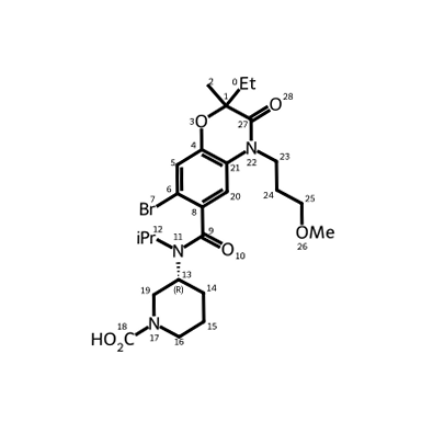 CCC1(C)Oc2cc(Br)c(C(=O)N(C(C)C)[C@@H]3CCCN(C(=O)O)C3)cc2N(CCCOC)C1=O